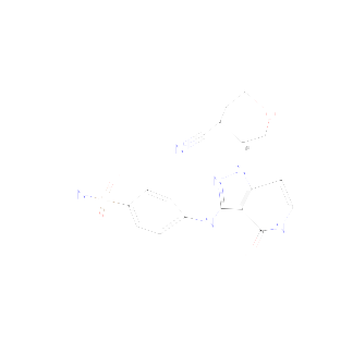 N#CC1CCOC[C@@H]1n1nc(Nc2ccc(S(N)(=O)=O)cc2)c2c(=O)[nH]ccc21